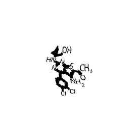 CC(=O)c1sc2nc(NC3(CO)CC3)nc(-c3ccc(Cl)c(Cl)c3)c2c1N